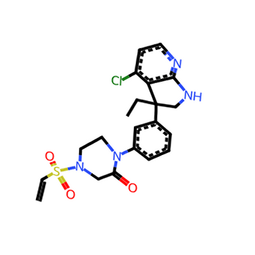 C=CS(=O)(=O)N1CCN(c2cccc(C3(CC)CNc4nccc(Cl)c43)c2)C(=O)C1